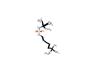 CC(C)(C)CCCCNS(=O)(=O)NC(C)(C)C